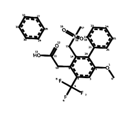 COc1cc(C(F)(F)F)c(CC(=O)O)c(CS(C)(=O)=O)c1-c1ccccc1.c1ccccc1